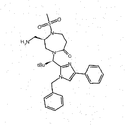 CC(C)(C)[C@H](c1nc(-c2ccccc2)cn1Cc1ccccc1)N1C[C@@H](CN)N(S(C)(=O)=O)CCC1=O